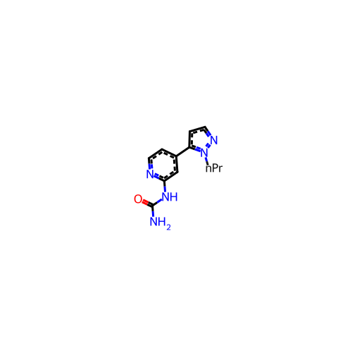 CCCn1nccc1-c1ccnc(NC(N)=O)c1